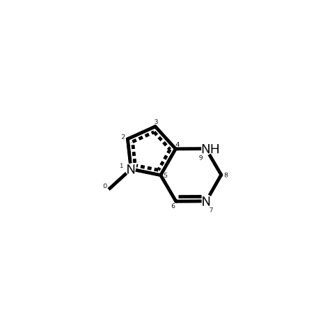 Cn1ccc2c1C=NCN2